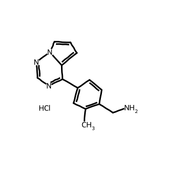 Cc1cc(-c2ncnn3cccc23)ccc1CN.Cl